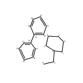 CCC1CCCCC1.c1ccc(-c2ccccc2)cc1